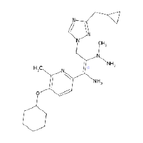 Cc1nc(/C(N)=C(\Cn2cnc(CC3CC3)n2)N(C)N)ccc1OC1CCCCC1